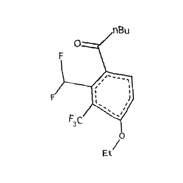 CCCCC(=O)c1ccc(OCC)c(C(F)(F)F)c1C(F)F